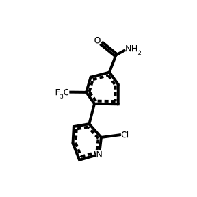 NC(=O)c1ccc(-c2cccnc2Cl)c(C(F)(F)F)c1